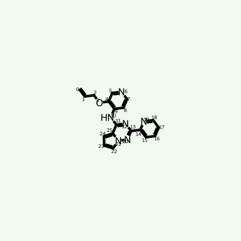 C=CCOc1cnccc1Nc1nc(-c2ccccn2)nn2cccc12